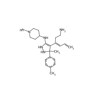 C=C/C=C(\CCN)C1=C(NC2CCN(CCC)CC2)NNC1(C)c1ccc(C)cc1